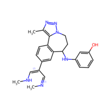 C/N=C\C(=C/NC)c1ccc2c(c1)C(Nc1cccc(O)c1)CCn1nnc(C)c1-2